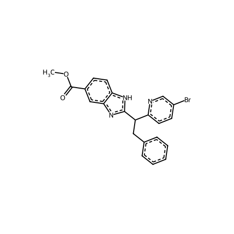 COC(=O)c1ccc2[nH]c(C(Cc3ccccc3)c3ccc(Br)cn3)nc2c1